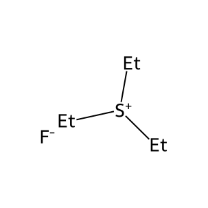 CC[S+](CC)CC.[F-]